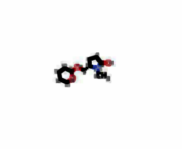 CN1C(=O)CC[C@H]1COC1CCCCO1